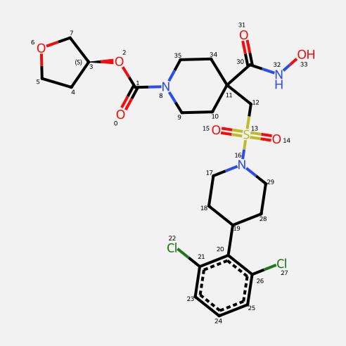 O=C(O[C@H]1CCOC1)N1CCC(CS(=O)(=O)N2CCC(c3c(Cl)cccc3Cl)CC2)(C(=O)NO)CC1